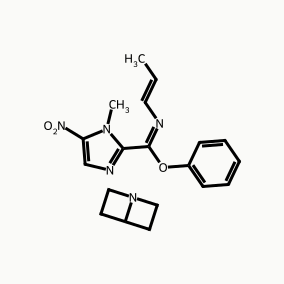 C1CN2CCC12.CC=CN=C(Oc1ccccc1)c1ncc([N+](=O)[O-])n1C